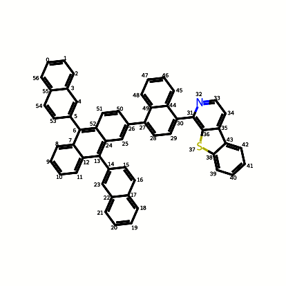 c1ccc2cc(-c3c4ccccc4c(-c4ccc5ccccc5c4)c4cc(-c5ccc(-c6nccc7c6sc6ccccc67)c6ccccc56)ccc34)ccc2c1